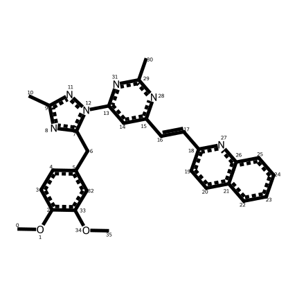 COc1ccc(Cc2nc(C)nn2-c2cc(/C=C/c3ccc4ccccc4n3)nc(C)n2)cc1OC